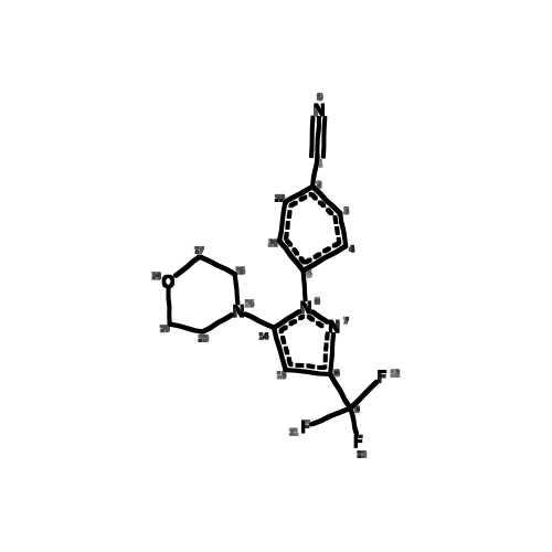 N#Cc1ccc(-n2nc(C(F)(F)F)cc2N2CCOCC2)cc1